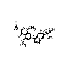 COc1cc(-c2cnn3cc(C(C)(C)CO)ccc23)cc(OC(F)F)c1C(=O)C(=N)[C@@H]1C[C@@H]1F